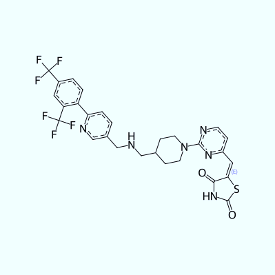 O=C1NC(=O)/C(=C\c2ccnc(N3CCC(CNCc4ccc(-c5ccc(C(F)(F)F)cc5C(F)(F)F)nc4)CC3)n2)S1